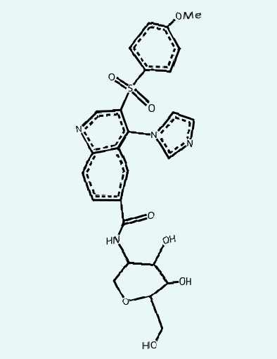 COc1ccc(S(=O)(=O)c2cnc3ccc(C(=O)NC4COC(CO)C(O)C4O)cc3c2-n2ccnc2)cc1